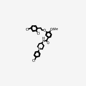 COc1ccc(C(=O)NC2CCN(c3ccc(Cl)cc3)CC2)cc1OCCc1ccc(Cl)cc1Cl